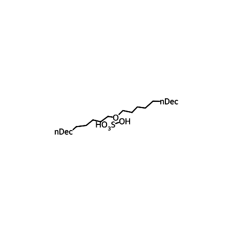 CCCCCCCCCCCCCCCOCCCCCCCCCCCCCCC.O=S(=O)(O)O